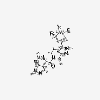 Cc1nc(C(=O)N2CCc3c(nn(C)c3-c3cc(F)c(F)c(F)c3)[C@@H]2C)c2cnn(C)c2n1